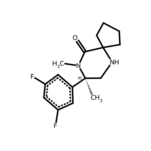 CN1C(=O)C2(CCCC2)NC[C@@]1(C)c1cc(F)cc(F)c1